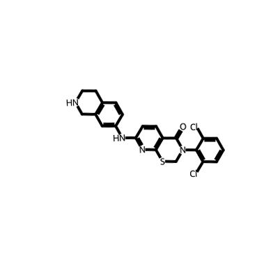 O=C1c2ccc(Nc3ccc4c(c3)CNCC4)nc2SCN1c1c(Cl)cccc1Cl